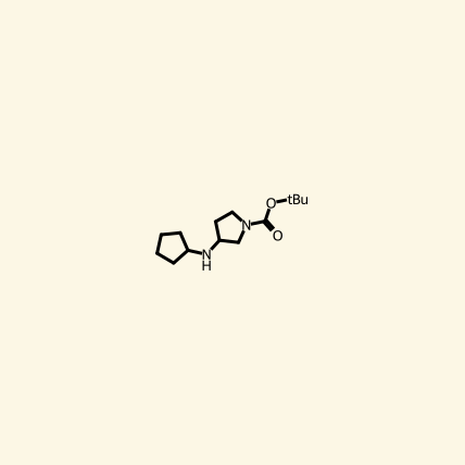 CC(C)(C)OC(=O)N1CCC(NC2CCCC2)C1